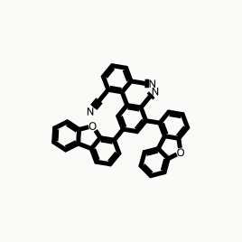 N#Cc1cccc(C#N)c1-c1cc(-c2cccc3c2oc2ccccc23)cc(-c2cccc3oc4ccccc4c23)c1C#N